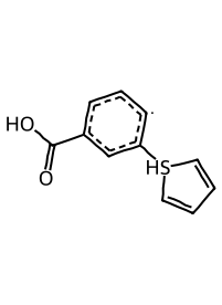 O=C(O)c1cc[c]c([SH]2C=CC=C2)c1